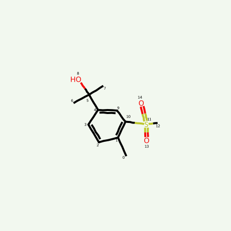 Cc1ccc(C(C)(C)O)cc1S(C)(=O)=O